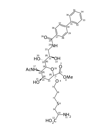 COC(=O)[C@@]1(OCCCSCC(N)C(=O)O)C[C@@H](O)[C@@H](NC(C)=O)C([C@H](O)[C@H](O)CNC(=O)c2ccc(-c3ccccc3)cc2)O1